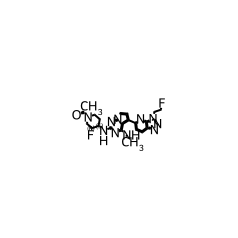 CNc1nc(N[C@H]2CCN(C(C)=O)C[C@H]2F)nn2ccc(-c3ccc4nnn(CCF)c4n3)c12